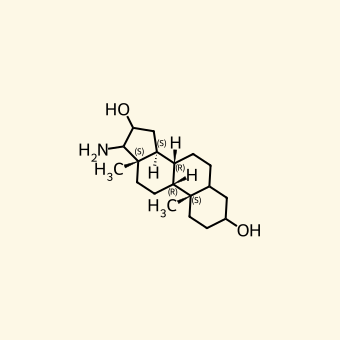 C[C@]12CCC(O)CC1CC[C@@H]1[C@H]2CC[C@]2(C)C(N)C(O)C[C@@H]12